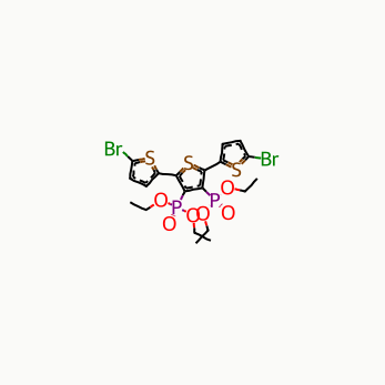 CCOP(=O)(OCC)c1c(-c2ccc(Br)s2)sc(-c2ccc(Br)s2)c1P(=O)(OCC)OCC